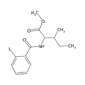 CCC(C)C(NC(=O)c1ccccc1I)C(=O)OC